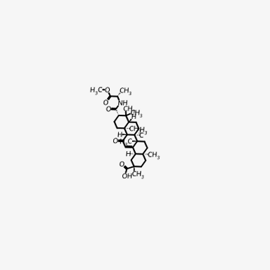 COC(=O)[C@H](C)NC(=O)[C@H]1CC[C@]2(C)[C@H]3C(=O)C=C4[C@@H]5C[C@@](C)(C(=O)O)CC[C@]5(C)CC[C@@]4(C)[C@]3(C)CC[C@H]2C1(C)C